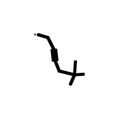 [CH2]CC#CCC(C)(C)C